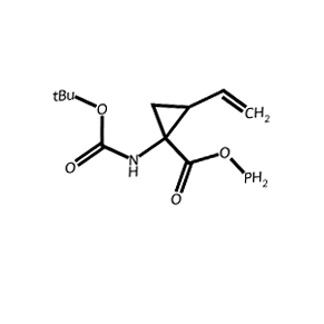 C=CC1CC1(NC(=O)OC(C)(C)C)C(=O)OP